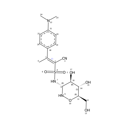 C/C(=C(/C#N)S(=O)(=O)N[C@H]1NO[C@H](CO)[C@@H](O)[C@@H]1O)c1ccc(N(C)C)cc1